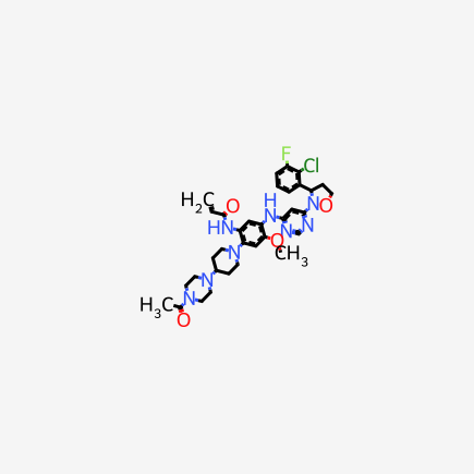 C=CC(=O)Nc1cc(Nc2cc(N3OCCC3c3cccc(F)c3Cl)ncn2)c(OC)cc1N1CCC(N2CCN(C(C)=O)CC2)CC1